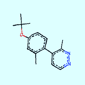 Cc1cc(OC(C)(C)C)ccc1-c1ccnnc1C